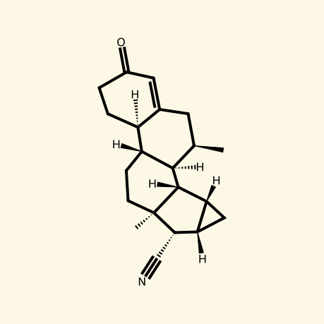 C[C@@H]1CC2=CC(=O)CC[C@@H]2[C@H]2CC[C@@]3(C)[C@@H]([C@@H]4C[C@@H]4[C@@H]3C#N)[C@@H]21